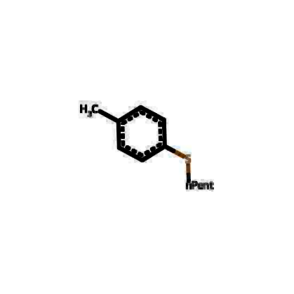 CCCCCSc1ccc(C)cc1